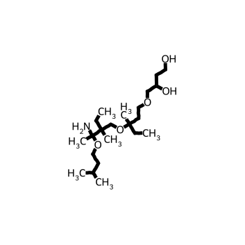 CCC(C)(CCOCC(O)CCO)OCC(C)(CC)C(C)(N)OCCC(C)C